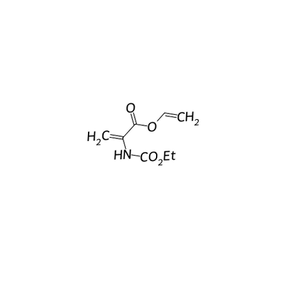 C=COC(=O)C(=C)NC(=O)OCC